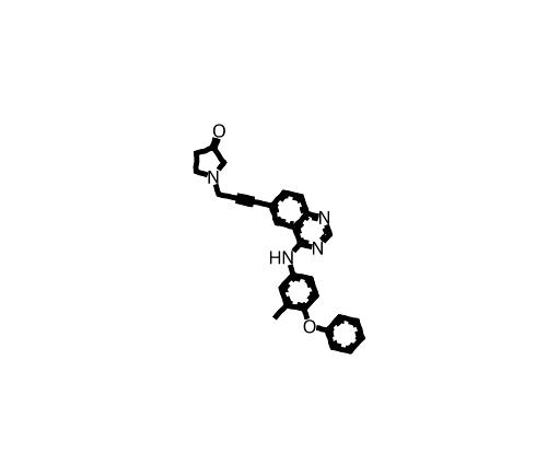 Cc1cc(Nc2ncnc3ccc(C#CCN4CCC(=O)C4)cc23)ccc1Oc1ccccc1